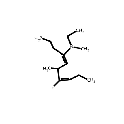 CC/C=C(/F)C(C)/C=C(\CCP)N(C)CC